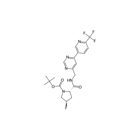 CC(C)(C)OC(=O)N1C[C@H](F)C[C@H]1C(=O)NCc1cc(-c2ccc(C(F)(F)F)nc2)ncn1